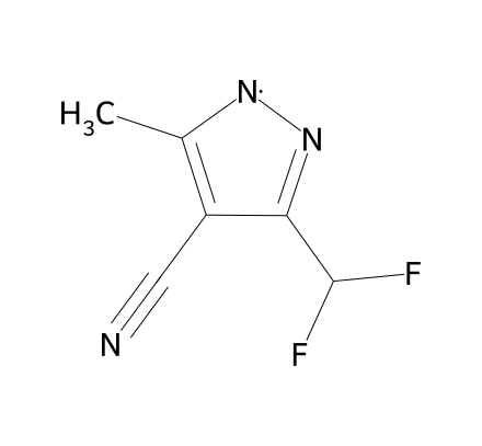 CC1=C(C#N)C(C(F)F)=N[N]1